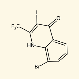 O=c1c(I)c(C(F)(F)F)[nH]c2c(Br)cccc12